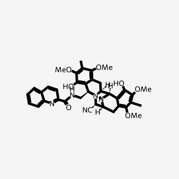 COc1c(C)c(OC)c2c(c1O)[C@@H]1[C@@H]3Cc4c(OC)c(C)c(OC)c(O)c4[C@H](CNC(=O)c4ccc5ccccc5n4)N3[C@@H](C#N)[C@H](C2)N1C